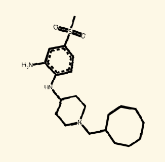 CS(=O)(=O)c1ccc(NC2CCN(CC3CCCCCCC3)CC2)c(N)c1